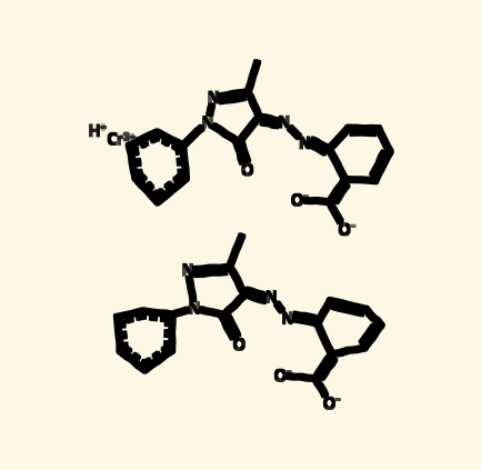 CC1=NN(c2ccccc2)C(=O)/C1=N\N=C1/C=CC=CC1=C([O-])[O-].CC1=NN(c2ccccc2)C(=O)/C1=N\N=C1/C=CC=CC1=C([O-])[O-].[Cr+3].[H+]